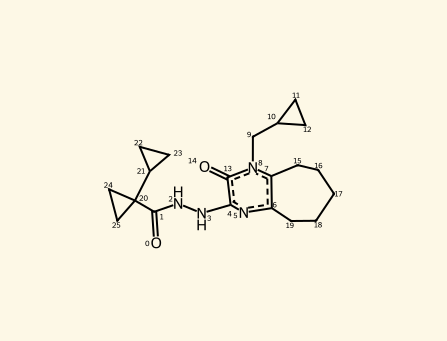 O=C(NNc1nc2c(n(CC3CC3)c1=O)CCCCC2)C1(C2CC2)CC1